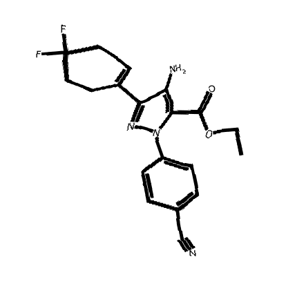 CCOC(=O)c1c(N)c(C2=CCC(F)(F)CC2)nn1-c1ccc(C#N)cc1